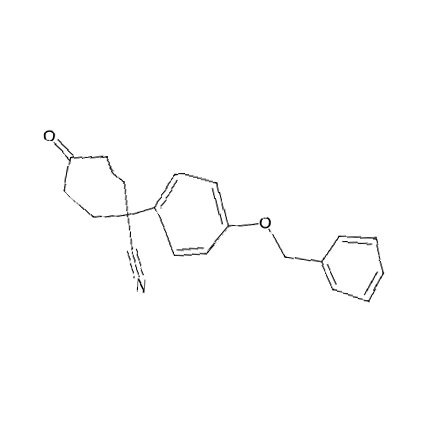 N#CC1(c2ccc(OCc3ccccc3)cc2)CCC(=O)CC1